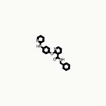 O=C(NCc1ccccc1)c1cccnc1Oc1ccc(Nc2ccccn2)cc1